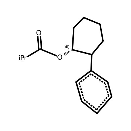 CC(C)C(=O)O[C@@H]1CCCCC1c1ccccc1